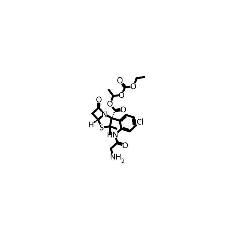 CCOC(=O)OC(C)OC(=O)[C@@]1(c2ccccc2NC(=O)CN)N2C(=O)C[C@H]2SC1(C)C.Cl